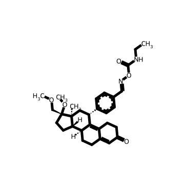 CCNC(=O)O/N=C/c1ccc([C@H]2C[C@@]3(C)[C@@H](CC[C@]3(COC)OC)[C@@H]3CCC4=CC(=O)CCC4=C32)cc1